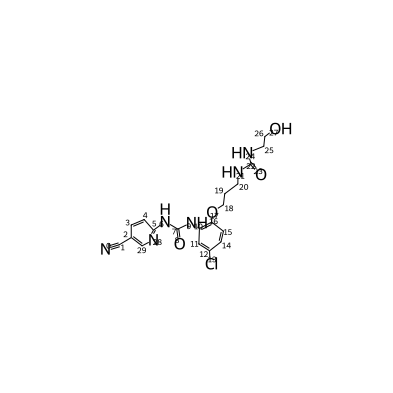 N#Cc1ccc(NC(=O)Nc2cc(Cl)ccc2OCCCNC(=O)NCCO)nc1